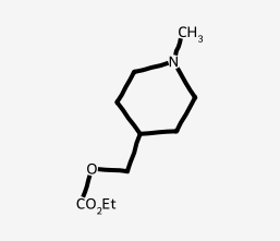 CCOC(=O)OCC1CCN(C)CC1